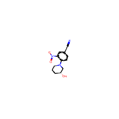 N#Cc1ccc(N2CCC[C@@H](O)C2)c([N+](=O)[O-])c1